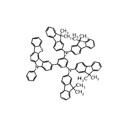 CC1(C)c2ccccc2-c2ccc(N(c3cc(-c4ccc5c(c4)c4c6sc7ccccc7c6ccc4n5-c4ccccc4)cc(N(c4ccc5c(c4)C(C)(C)c4ccccc4-5)c4ccc5c(c4)C(C)(C)c4ccccc4-5)c3)c3ccc4c(c3)C(C)(C)c3ccccc3-4)cc21